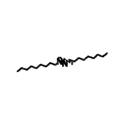 CCCCCCCCC[N+][N+]CCCCCCCCC